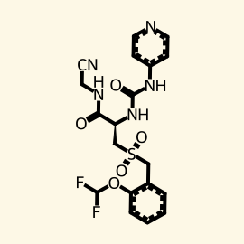 N#CCNC(=O)[C@H](CS(=O)(=O)Cc1ccccc1OC(F)F)NC(=O)Nc1ccncc1